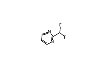 FC(F)c1ncccn1